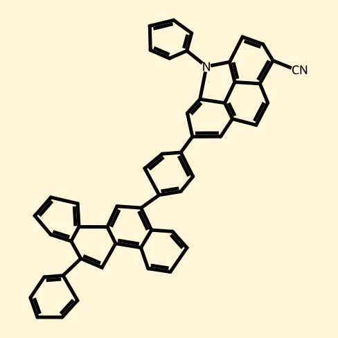 N#Cc1ccc2c3c1ccc1cc(-c4ccc(-c5cc6c7ccccc7c(-c7ccccc7)cc6c6ccccc56)cc4)cc(c13)n2-c1ccccc1